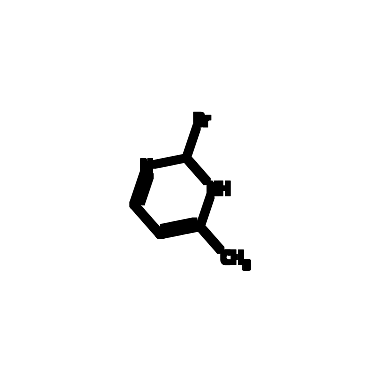 CC1=CC=NC(Br)N1